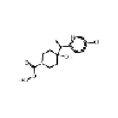 CC(c1ccc(Cl)cn1)C1(O)CCN(C(=O)OC(C)(C)C)CC1